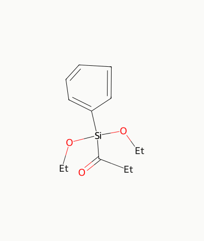 CCO[Si](OCC)(C(=O)CC)c1ccccc1